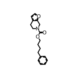 O=C(OCCCCc1ccccc1)N1CCc2ccoc2C1